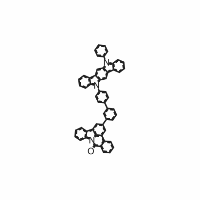 O=c1c2ccccc2c2cc(-c3cccc(-c4ccc(-n5c6ccccc6c6cc7c(cc65)c5ccccc5n7-c5ccccc5)cc4)c3)cc3c4ccccc4n1c23